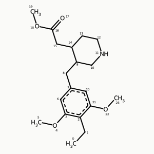 CCc1c(OC)cc(CC2CNCCC2CC(=O)OC)cc1OC